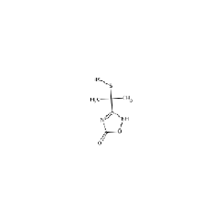 CC(C)(SS)c1nc(=O)o[nH]1